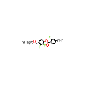 CCCCCCCOCc1ccc(OC(=O)c2ccc(CCC)cc2F)c(F)c1F